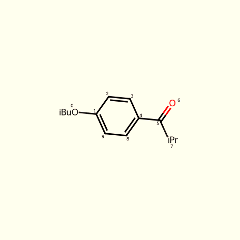 CC(C)COc1ccc(C(=O)C(C)C)cc1